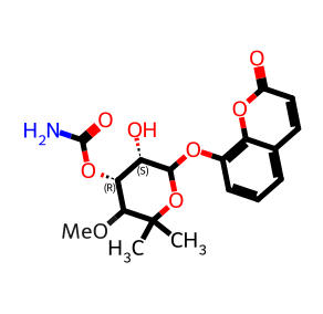 COC1[C@H](OC(N)=O)[C@H](O)C(Oc2cccc3ccc(=O)oc23)OC1(C)C